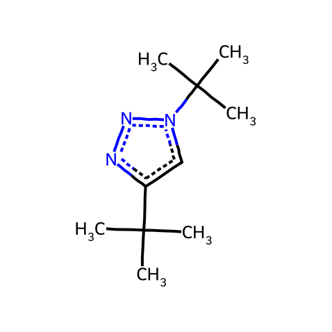 CC(C)(C)c1cn(C(C)(C)C)nn1